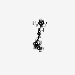 CN(C)c1ccccc1CNCCCNCc1ccc(OCCOCCNc2cccc3c2C(=O)N(C2CCC(=O)NC2=O)C3=O)cc1